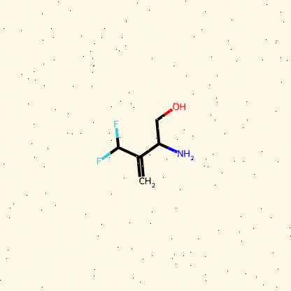 C=C(C(F)F)C(N)CO